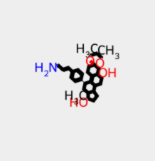 CC1(C)COC2(CCC3=C4C(CCC3(O)C2)C2CCC(O)C2(C)C[C@@H]4c2ccc(/C=C/CN)cc2)OC1